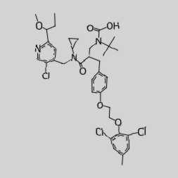 CCC(OC)c1cc(CN(C(=O)C(Cc2ccc(OCCOc3c(Cl)cc(C)cc3Cl)cc2)CN(C(=O)O)C(C)(C)C)C2CC2)c(Cl)cn1